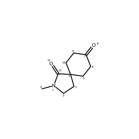 CN1CCC2(CCC(=O)CC2)C1=O